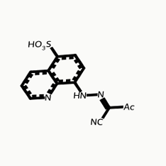 CC(=O)/C(C#N)=N/Nc1ccc(S(=O)(=O)O)c2cccnc12